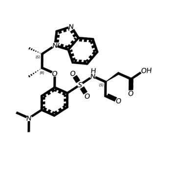 C[C@@H](Oc1cc(N(C)C)ccc1S(=O)(=O)N[C@H](C=O)CC(=O)O)[C@H](C)n1cnc2ccccc21